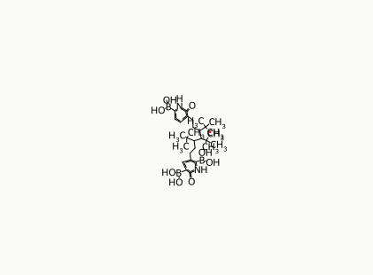 CC(C)(C)C(CCc1cc(B(O)O)c(=O)[nH]c1B(O)O)C(C(CCc1ccc(B(O)O)[nH]c1=O)C(C)(C)C)C(C)(C)C